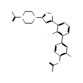 CC(=O)Nc1ccc(-c2cccc(-c3cc(N4CCN(C(C)=O)CC4)no3)c2O)cc1F